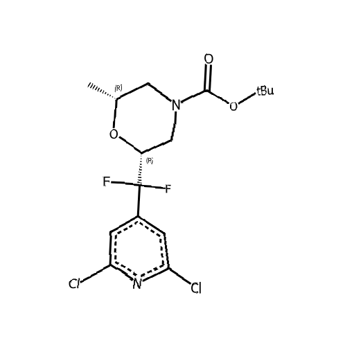 C[C@@H]1CN(C(=O)OC(C)(C)C)C[C@H](C(F)(F)c2cc(Cl)nc(Cl)c2)O1